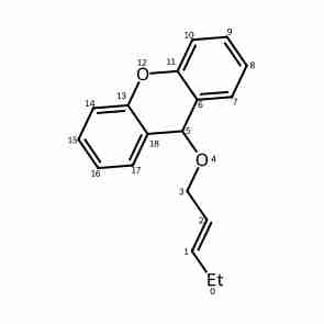 CCC=CCOC1c2ccccc2Oc2ccccc21